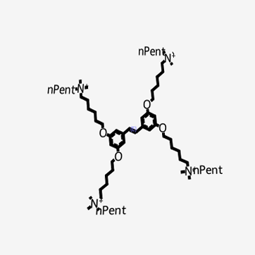 CCCCC[N+](C)(C)CCCCCCOc1cc(/C=C/c2cc(OCCCCCC[N+](C)(C)CCCCC)cc(OCCCCCC[N+](C)(C)CCCCC)c2)cc(OCCCCCC[N+](C)(C)CCCCC)c1